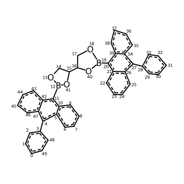 c1ccc(-c2c3ccccc3c(B3OCC(C4COB(c5c6ccccc6c(-c6ccccc6)c6ccccc56)O4)O3)c3ccccc23)cc1